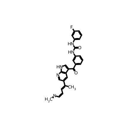 C=N/C=C\C=C(/C)c1cnc2[nH]cc(C(=O)c3cccc(NC(=O)Nc4cccc(F)c4)c3)c2c1